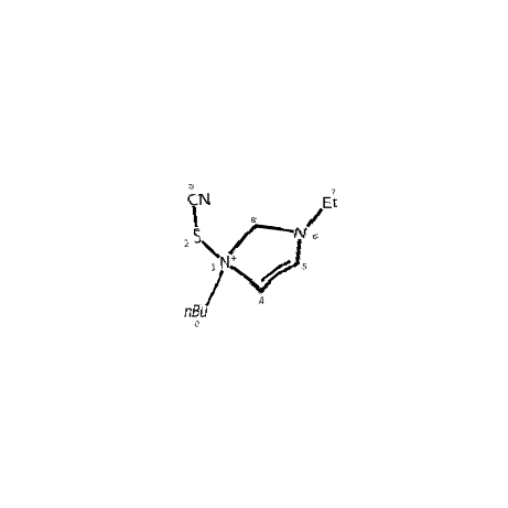 CCCC[N+]1(SC#N)C=CN(CC)C1